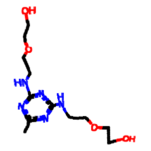 Cc1nc(NCCOCCO)nc(NCCOCCO)n1